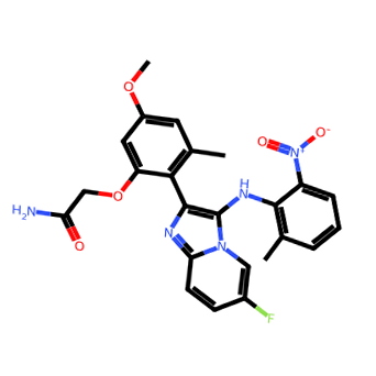 COc1cc(C)c(-c2nc3ccc(F)cn3c2Nc2c(C)cccc2[N+](=O)[O-])c(OCC(N)=O)c1